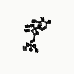 CCOP(=O)(/C=C/C1OC(OC)(n2ccc(=O)[nH]c2=O)[C@H]1O)OCC